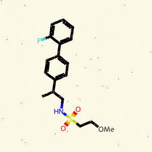 COCCS(=O)(=O)NCC(C)c1ccc(-c2ccccc2F)cc1